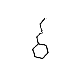 [CH2]CSCC1CCCCC1